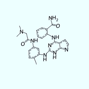 Cc1ccc(NC(=O)CN(C)C)cc1Nc1nc(Nc2ccccc2C(N)=O)c2ccnc-2[nH]1